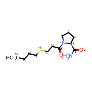 NC(=O)[C@@H]1CCCN1C(=O)CCSCCCC(=O)O